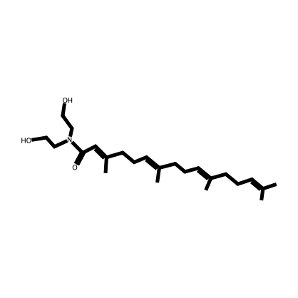 CC(C)=CCC/C(C)=C/CC/C(C)=C/CC/C(C)=C/C(=O)N(CCO)CCO